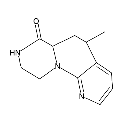 CC1CC2C(=O)NCCN2c2ncccc21